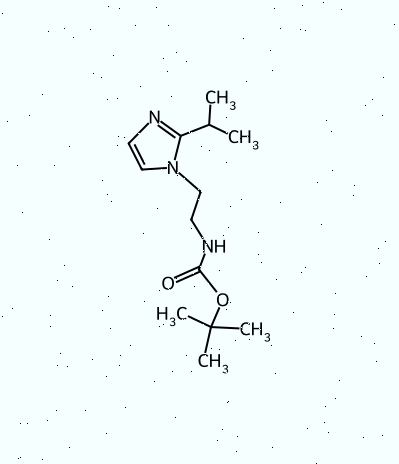 CC(C)c1nccn1CCNC(=O)OC(C)(C)C